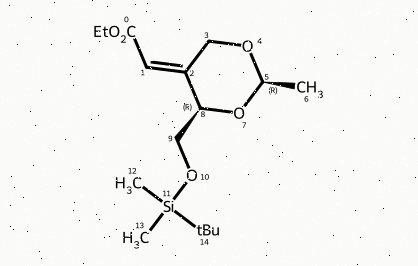 CCOC(=O)C=C1CO[C@@H](C)O[C@H]1CO[Si](C)(C)C(C)(C)C